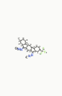 [C-]#[N+]/N=c1/c2cc(C(F)(F)F)ccc2c2cc3c(cc12)/c(=N/[N+]#[C-])c1cc(C)ccc13